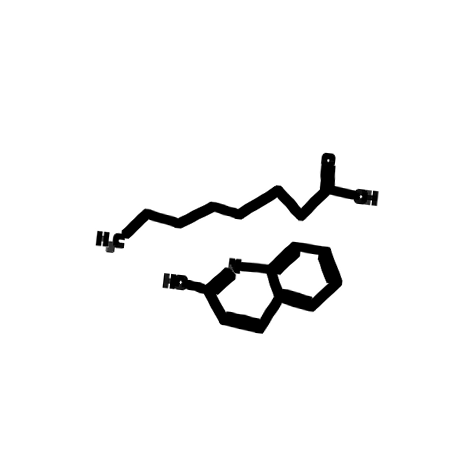 CCCCCCCC(=O)O.Oc1ccc2ccccc2n1